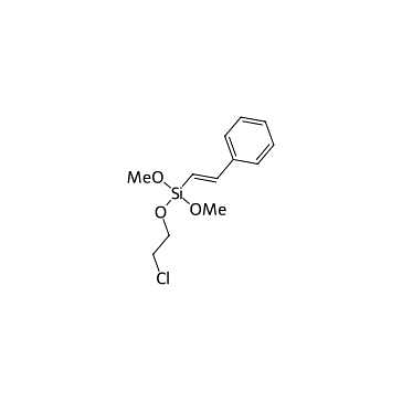 CO[Si](C=Cc1ccccc1)(OC)OCCCl